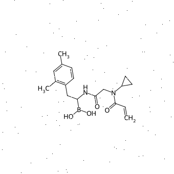 C=CC(=O)N(CC(=O)NC(Cc1ccc(C)cc1C)B(O)O)C1CC1